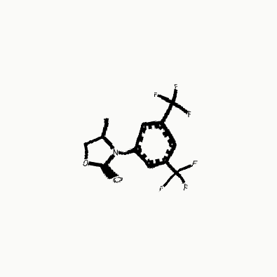 CC1COC(=O)N1c1cc(C(F)(F)F)cc(C(F)(F)F)c1